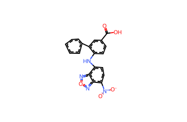 O=C(O)c1ccc(Nc2ccc([N+](=O)[O-])c3nonc23)c(-c2ccccc2)c1